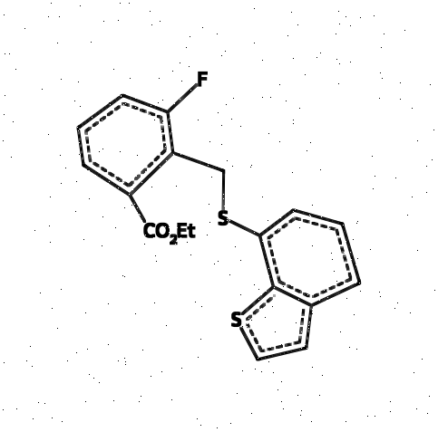 CCOC(=O)c1cccc(F)c1CSc1cccc2ccsc12